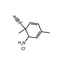 CC1=CC(N)C(C)([N+]#N)C=C1.[Cl-]